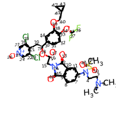 CN(C)CCN(c1ccc2c(c1)C(=O)N(CC(=O)O[C@@H](Cc1c(Cl)c[n+]([O-])cc1Cl)c1ccc(OC(F)F)c(OCC3CC3)c1)C2=O)S(C)(=O)=O